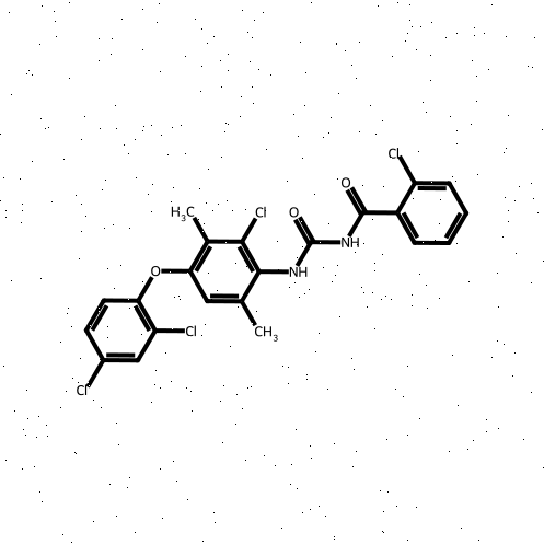 Cc1cc(Oc2ccc(Cl)cc2Cl)c(C)c(Cl)c1NC(=O)NC(=O)c1ccccc1Cl